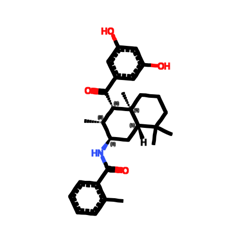 Cc1ccccc1C(=O)N[C@@H]1C[C@H]2C(C)(C)CCC[C@]2(C)[C@@H](C(=O)c2cc(O)cc(O)c2)[C@H]1C